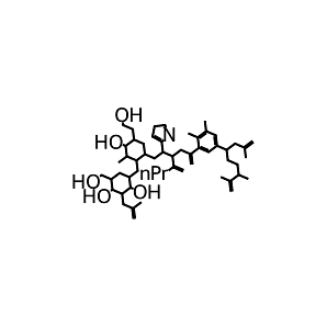 C=C(C)CC(CCC(C)C(=C)C)c1cc(C)c(C)c(C(=C)CC(C(=C)CCC)C(CC2CC(CCO)C(O)C(C)C2CC2CC(CO)C(O)C(CC(=C)C)C2O)C2=CCC=N2)c1